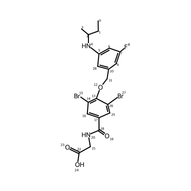 CCC(C)Nc1cc(F)cc(COc2c(Br)cc(C(=O)NCC(=O)O)cc2Br)c1